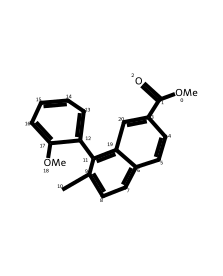 COC(=O)c1ccc2ccc(C)c(-c3ccccc3OC)c2c1